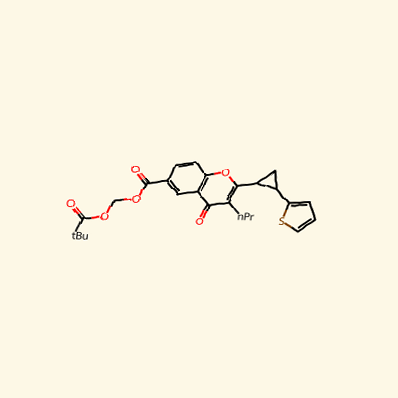 CCCc1c(C2CC2c2cccs2)oc2ccc(C(=O)OCOC(=O)C(C)(C)C)cc2c1=O